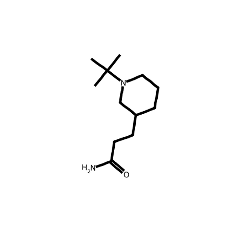 CC(C)(C)N1CCCC(CCC(N)=O)C1